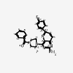 C[C@@H]1CN(C(=O)c2ccccc2)CCN1c1nc(N)nc2ccc(-c3ccc(F)cc3)nc12